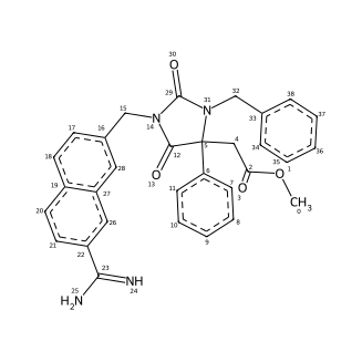 COC(=O)CC1(c2ccccc2)C(=O)N(Cc2ccc3ccc(C(=N)N)cc3c2)C(=O)N1Cc1ccccc1